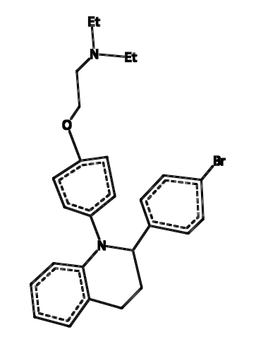 CCN(CC)CCOc1ccc(N2c3ccccc3CCC2c2ccc(Br)cc2)cc1